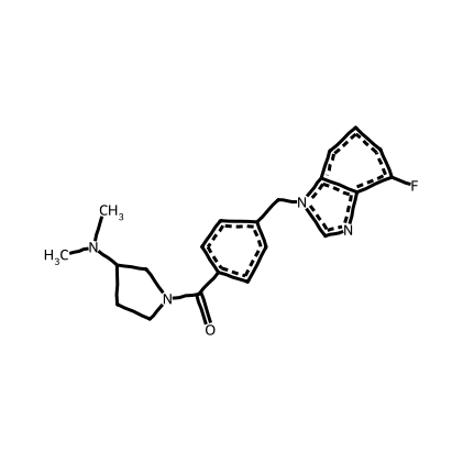 CN(C)C1CCN(C(=O)c2ccc(Cn3cnc4c(F)cccc43)cc2)C1